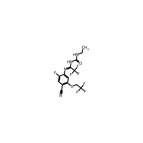 CCNC(=O)N/C(=N/c1cc(SCC(F)(F)F)c(C#N)cc1F)C(F)(F)F